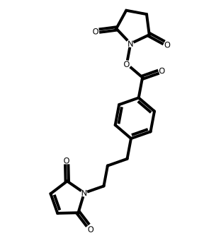 O=C(ON1C(=O)CCC1=O)c1ccc(CCCN2C(=O)C=CC2=O)cc1